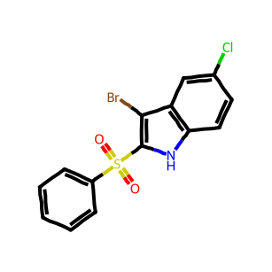 O=S(=O)(c1ccccc1)c1[nH]c2ccc(Cl)cc2c1Br